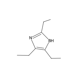 CCC1=NC(CC)=C(CC)B1